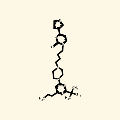 CCCc1cc(N2CCN(CCCCn3ccc(-c4ccsc4)nc3=O)CC2)nc(C(C)(C)C)n1